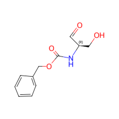 O=C[C@@H](CO)NC(=O)OCc1ccccc1